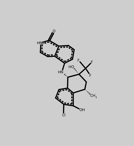 C[C@H]1C[C@](O)(C(F)(F)F)[C@@H](Nc2cccc3c(=O)[nH]ccc23)c2ccc(Cl)c(O)c21